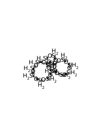 O1[SiH2]O[SiH2]O[SiH2]1.O1[SiH2]O[SiH2]O[SiH2]O[SiH2]O[SiH2]O[SiH2]1.O1[SiH2]O[SiH2]O[SiH2]O[SiH2]O[SiH2]O[SiH2]O[SiH2]1